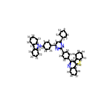 c1ccc(-c2cc(-c3ccc(-n4c5ccccc5c5ccccc54)cc3)nc(-c3ccc(-c4nc5ccccc5c5sc6ccccc6c45)cc3)n2)cc1